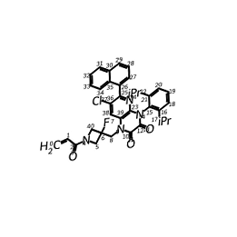 C=CC(=O)N1CC(F)(Cn2c(=O)c(=O)n(-c3c(C(C)C)cccc3C(C)C)c3nc(-c4cccc5ccccc45)c(Cl)cc32)C1